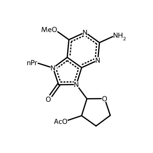 CCCn1c(=O)n(C2OCCC2OC(C)=O)c2nc(N)nc(OC)c21